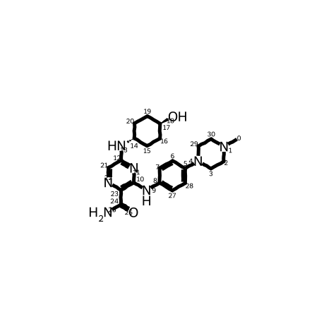 CN1CCN(c2ccc(Nc3nc(N[C@H]4CC[C@H](O)CC4)cnc3C(N)=O)cc2)CC1